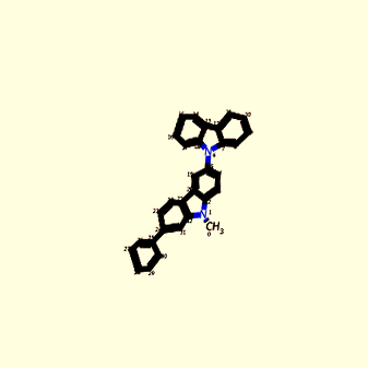 Cn1c2ccc(-n3c4ccccc4c4ccccc43)cc2c2ccc(-c3ccccc3)cc21